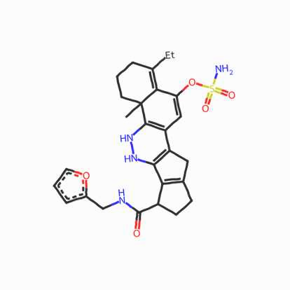 CCC1=C2C(OS(N)(=O)=O)=CC3=C(NNC4=C3CC3=C4C(C(=O)NCc4ccco4)CC3)C2(C)CCC1